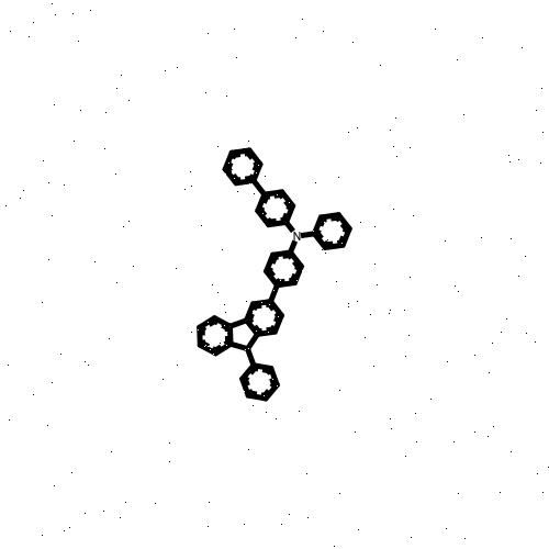 c1ccc(-c2ccc(N(c3ccccc3)c3ccc(-c4ccc5c(c4)-c4ccccc4C5c4ccccc4)cc3)cc2)cc1